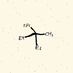 CCCC(C)(CC)CC